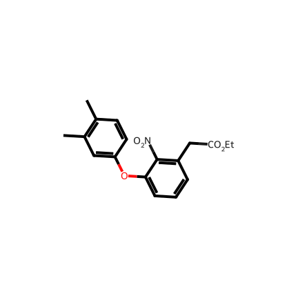 CCOC(=O)Cc1cccc(Oc2ccc(C)c(C)c2)c1[N+](=O)[O-]